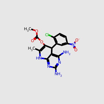 COC(=O)OC1=C(C)Nc2nc(N)nc(N)c2C1c1cc([N+](=O)[O-])ccc1Cl